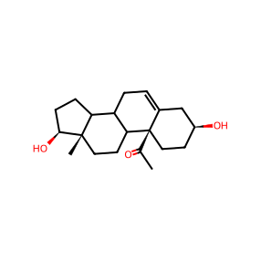 CC(=O)[C@]12CC[C@H](O)CC1=CCC1C2CC[C@@]2(C)C1CC[C@@H]2O